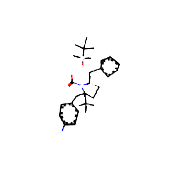 CC(C)(C)C1(Cc2ccc(N)cc2)CC[C@H]([C@H](O[Si](C)(C)C(C)(C)C)c2ccccc2)N1C(=O)O